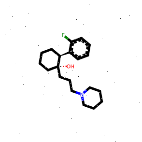 O[C@]1(CCCN2CCCCC2)CCCC[C@H]1c1ccccc1F